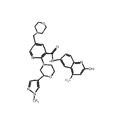 Cc1cc(O)nc2ccc(NC(=O)c3cc(CN4CCOCC4)cnc3N3CCOC(c4cnn(C)c4)C3)cc12